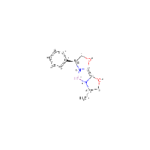 C[C@H]1COC2=C3OC[C@H](c4ccccc4)N3PN21